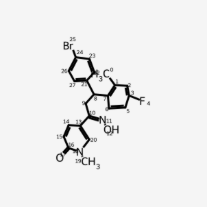 Cc1cc(F)ccc1C(C/C(=N/O)c1ccc(=O)n(C)c1)c1ccc(Br)cc1